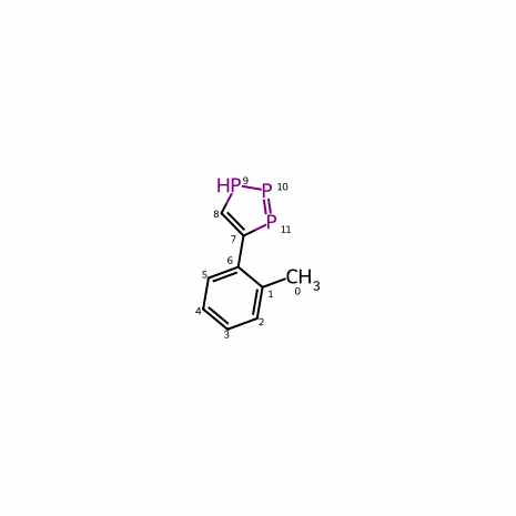 Cc1ccccc1-c1c[pH]pp1